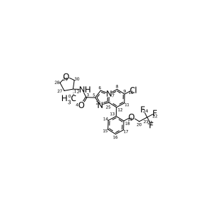 C[C@]1(NC(=O)c2cn3cc(Cl)cc(-c4ccccc4OCC(F)(F)F)c3n2)CCOC1